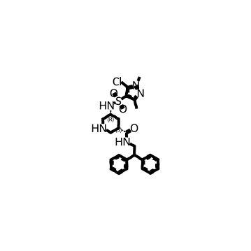 Cc1nn(C)c(Cl)c1S(=O)(=O)N[C@H]1CNC[C@@H](C(=O)NCC(c2ccccc2)c2ccccc2)C1